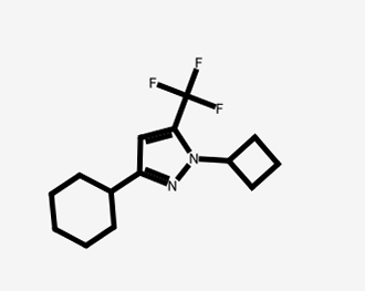 FC(F)(F)c1cc(C2CCCCC2)nn1C1CCC1